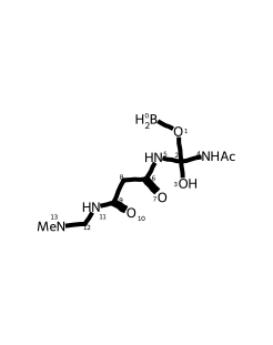 BOC(O)(NC(C)=O)NC(=O)CC(=O)NCNC